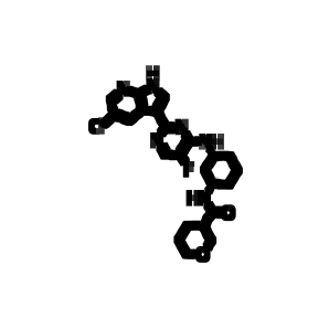 O=C(N[C@@H]1CCC[C@H](Nc2nc(-c3c[nH]c4ncc(Cl)cc34)ncc2F)C1)C1CCCOC1